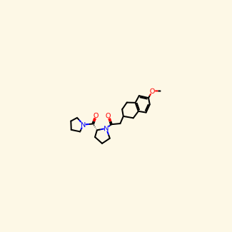 COc1ccc2c(c1)CCC(CC(=O)N1CCC[C@@H]1C(=O)N1CCCC1)C2